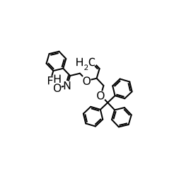 C=CC(COC(c1ccccc1)(c1ccccc1)c1ccccc1)OCC(=NO)c1ccccc1F